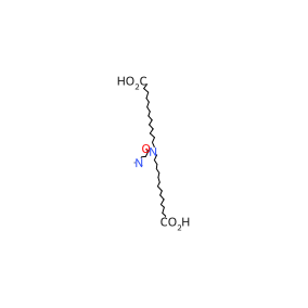 CN(C)CCC(=O)N(CCCCCCCCCCCCCCCC(=O)O)CCCCCCCCCCCCCCCC(=O)O